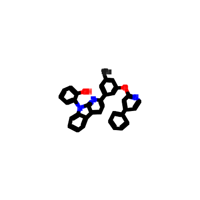 CC(C)(C)c1cc(Oc2cc(-c3ccccc3)ccn2)cc(-c2ccc3c4ccccc4n(-c4ccccc4O)c3n2)c1